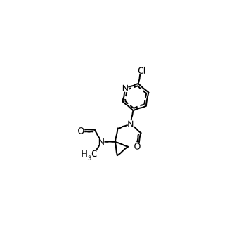 CN(C=O)C1(CN(C=O)c2ccc(Cl)nc2)CC1